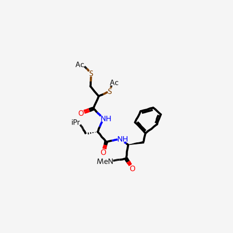 CNC(=O)[C@H](Cc1ccccc1)NC(=O)[C@H](CC(C)C)NC(=O)C(CSC(C)=O)SC(C)=O